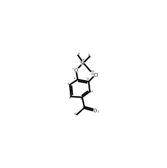 CC(=O)c1ccc(O[Si](C)(C)C)c(Cl)c1